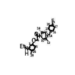 CCNc1cc(OCC(=O)N2C[C@H](C)N(Cc3ccc(F)cc3)C[C@H]2C)ccc1C